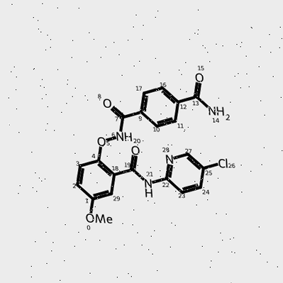 COc1ccc(ONC(=O)c2ccc(C(N)=O)cc2)c(C(=O)Nc2ccc(Cl)cn2)c1